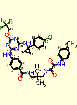 Cc1ccc(NC(=O)C(=O)NCC(C)(C)CNC(=O)c2ccc(Nc3nc(NC4(c5ccc(Cl)cc5)CC4)nc(OCC(F)(F)F)n3)cc2)cc1